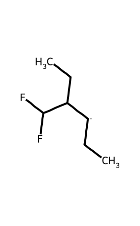 CC[CH]C(CC)C(F)F